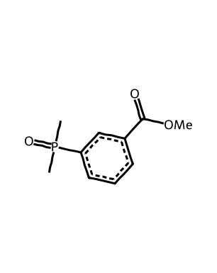 COC(=O)c1cccc(P(C)(C)=O)c1